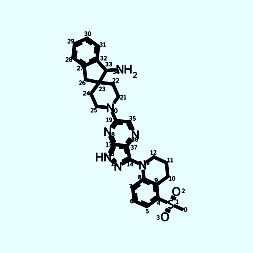 CS(=O)(=O)c1cccc2c1CCCN2c1n[nH]c2nc(N3CCC4(CC3)Cc3ccccc3C4N)cnc12